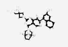 CCC1(N)CN(c2nc(N3C[C@H]4CC[C@@H](C3)N4)c3cnc(-c4cc(O)cc5ccccc45)c(F)c3n2)C1